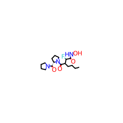 CCCCC(C(=O)N1CCC[C@H]1C(=O)N1CCCC1)C(F)C(=O)NO